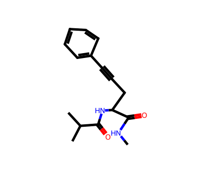 CNC(=O)C(CC#Cc1ccccc1)NC(=O)C(C)C